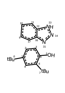 CC(C)(C)c1ccc(O)c(C(C)(C)C)c1.c1ccc2[nH]nnc2c1